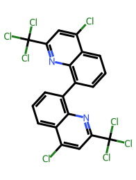 Clc1cc(C(Cl)(Cl)Cl)nc2c(-c3cccc4c(Cl)cc(C(Cl)(Cl)Cl)nc34)cccc12